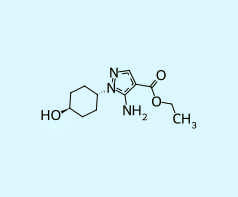 CCOC(=O)c1cnn([C@H]2CC[C@H](O)CC2)c1N